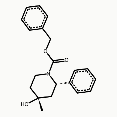 C[C@@]1(O)CCN(C(=O)OCc2ccccc2)[C@H](c2ccccc2)C1